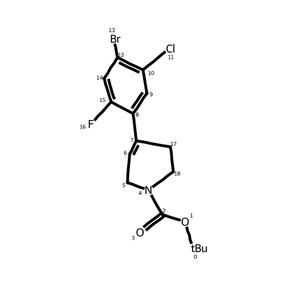 CC(C)(C)OC(=O)N1CC=C(c2cc(Cl)c(Br)cc2F)CC1